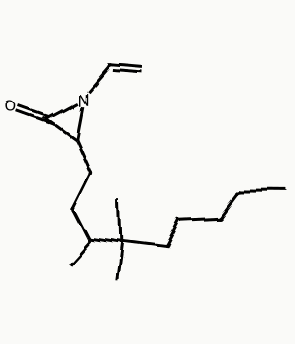 C=CN1C(=O)C1CCC(C)C(C)(C)CCCCC